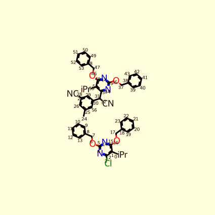 CC(C)c1c(Cl)nc(OCc2ccccc2)nc1OCc1ccccc1.Cc1cc(C#N)cc(C(C#N)c2nc(OCc3ccccc3)nc(OCc3ccccc3)c2C(C)C)c1